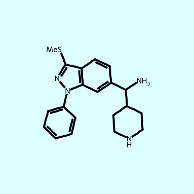 CSc1nn(-c2ccccc2)c2cc(C(N)C3CCNCC3)ccc12